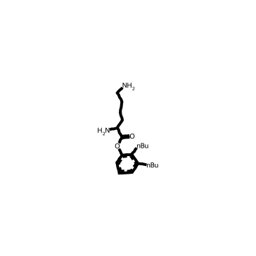 CCCCc1cccc(OC(=O)C(N)CCCCN)c1CCCC